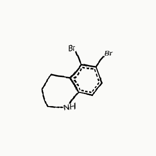 Brc1ccc2c(c1Br)CCCN2